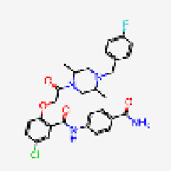 CC1CN(C(=O)COc2ccc(Cl)cc2C(=O)Nc2ccc(C(N)=O)cc2)C(C)CN1Cc1ccc(F)cc1